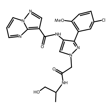 COc1ccc(Cl)cc1-c1nn(CC(=O)NC(C)CO)cc1NC(=O)c1cnn2cccnc12